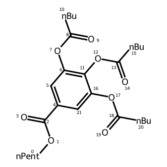 CCCCCOC(=O)c1cc(OC(=O)CCCC)c(OC(=O)CCCC)c(OC(=O)CCCC)c1